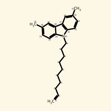 C=CCCCCCCCCn1c2ccc(C)cc2c2cc(C)ccc21